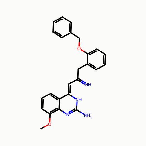 COc1cccc2c1N=C(N)N/C2=C\C(=N)Cc1ccccc1OCc1ccccc1